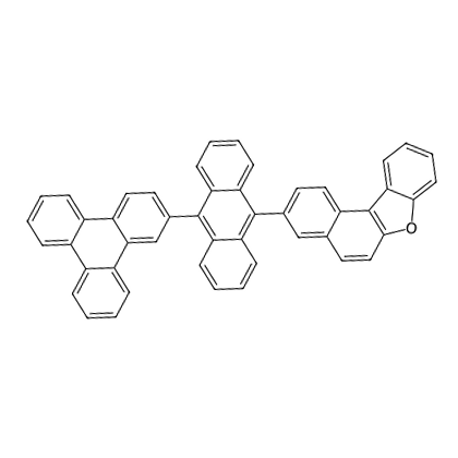 c1ccc2c(c1)oc1ccc3cc(-c4c5ccccc5c(-c5ccc6c7ccccc7c7ccccc7c6c5)c5ccccc45)ccc3c12